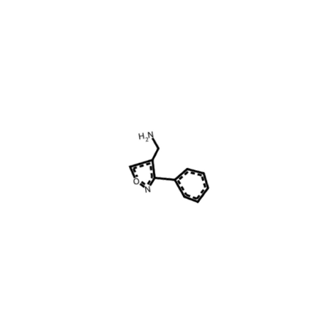 NCc1conc1-c1ccccc1